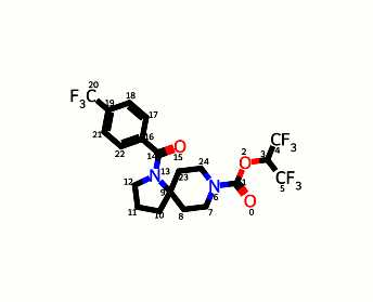 O=C(OC(C(F)(F)F)C(F)(F)F)N1CCC2(CCCN2C(=O)c2ccc(C(F)(F)F)cc2)CC1